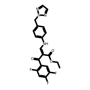 CCOC(=O)C(=CNc1ccc(Cn2nccn2)cc1)C(=O)c1cc(F)c(F)cc1F